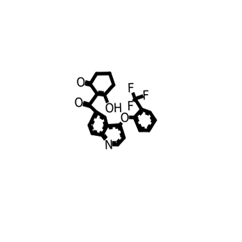 O=C1CCCC(O)=C1C(=O)c1ccc2nccc(Oc3ccccc3C(F)(F)F)c2c1